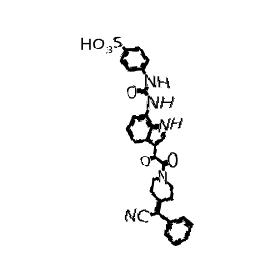 N#CC(=C1CCN(C(=O)C(=O)c2c[nH]c3c(NC(=O)Nc4ccc(S(=O)(=O)O)cc4)cccc23)CC1)c1ccccc1